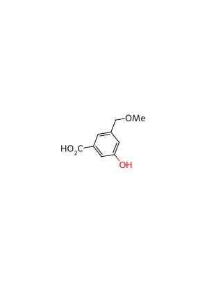 COCc1cc(O)cc(C(=O)O)c1